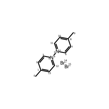 Cc1cc[n+](-[n+]2ccc(C)cc2)cc1.[Br-].[Br-]